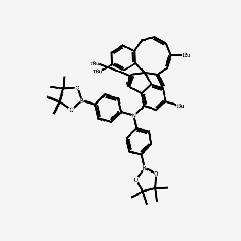 C=C1/C=C(C(C)(C)C)\C=C/Cc2ccc(C(C)(C)C)cc2C12c1cc(C(C)(C)C)ccc1-c1c(N(c3ccc(B4OC(C)(C)C(C)(C)O4)cc3)c3ccc(B4OC(C)(C)C(C)(C)O4)cc3)cc(C(C)(C)C)cc12